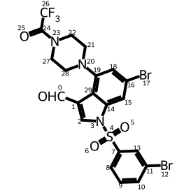 O=Cc1cn(S(=O)(=O)c2cccc(Br)c2)c2cc(Br)cc(N3CCN(C(=O)C(F)(F)F)CC3)c12